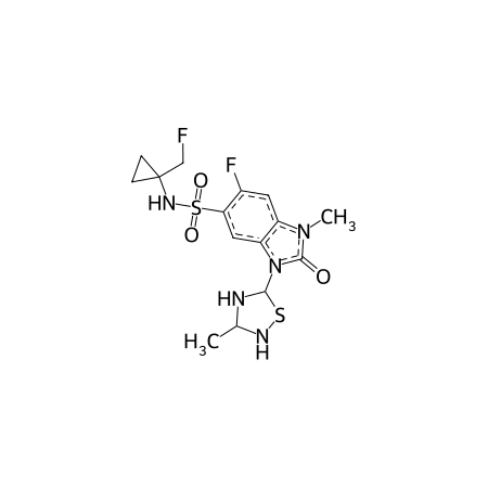 CC1NSC(n2c(=O)n(C)c3cc(F)c(S(=O)(=O)NC4(CF)CC4)cc32)N1